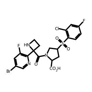 O=C(O)C1CC(S(=O)(=O)c2ccc(F)cc2Cl)CN1C(=O)C1(c2ncc(Br)cc2F)CCN1